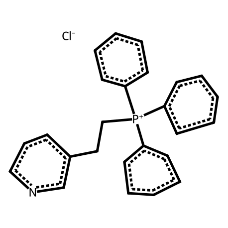 [Cl-].c1ccc([P+](CCc2cccnc2)(c2ccccc2)c2ccccc2)cc1